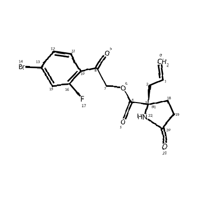 C=CC[C@@]1(C(=O)OCC(=O)c2ccc(Br)cc2F)CCC(=O)N1